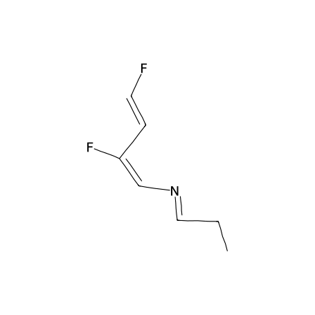 CC/C=N/C=C(F)\C=C\F